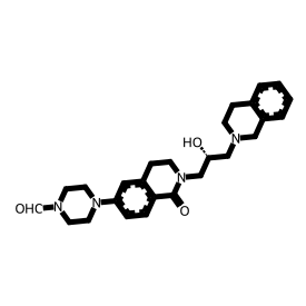 O=CN1CCN(c2ccc3c(c2)CCN(C[C@H](O)CN2CCc4ccccc4C2)C3=O)CC1